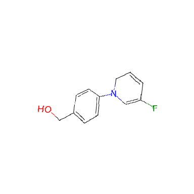 OCc1ccc(N2C=C(F)C=CC2)cc1